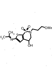 COCCCN1CC(O)c2cc(N=C(C)C)sc2S1(=O)=O